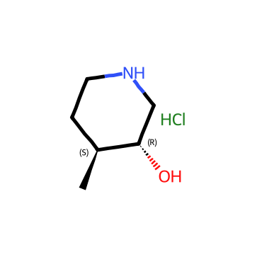 C[C@H]1CCNC[C@@H]1O.Cl